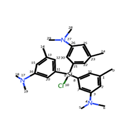 Cc1cc(N(C)C)cc([Si](Cl)(c2cc(C)cc(N(C)C)c2)c2cc(C)cc(N(C)C)c2)c1